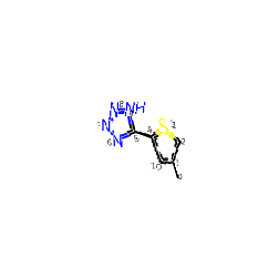 Cc1csc(-c2nnn[nH]2)c1